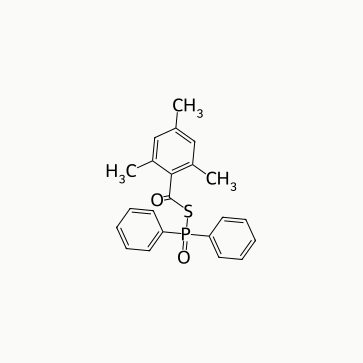 Cc1cc(C)c(C(=O)SP(=O)(c2ccccc2)c2ccccc2)c(C)c1